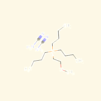 CCCC[PH](CCCC)(CCCC)CCOC.N#CN.N#CN